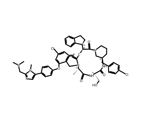 C[C@H]1C(=O)N[C@@H](CO)C(=O)N[C@@]2(Cc3ccc(Cl)cc3)CCCN(C2)C(=O)[C@H]([C@@H]2CCc3ccccc32)CC(=O)N1Cc1c(F)cc(Cl)cc1Oc1ccc(-c2cnc(CN(C)C)n2C)cc1